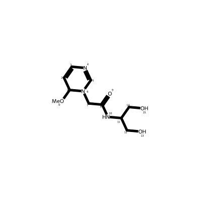 COC1C=CN=CN1CC(=O)NC(CO)CO